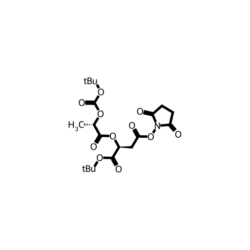 C[C@H](OC(=O)OC(C)(C)C)C(=O)O[C@@H](CC(=O)ON1C(=O)CCC1=O)C(=O)OC(C)(C)C